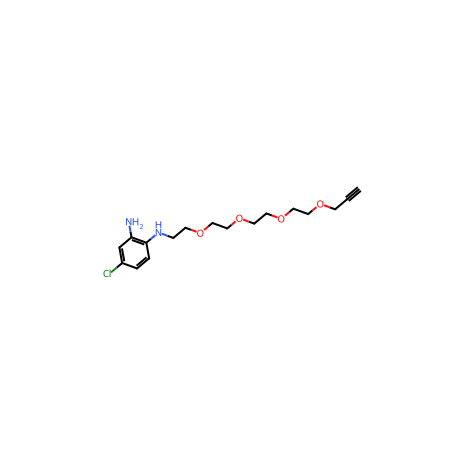 C#CCOCCOCCOCCOCCNc1ccc(Cl)cc1N